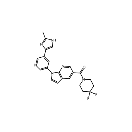 Cc1nc(-c2cncc(-n3ccc4cc(C(=O)N5CCC(F)(F)CC5)cnc43)c2)c[nH]1